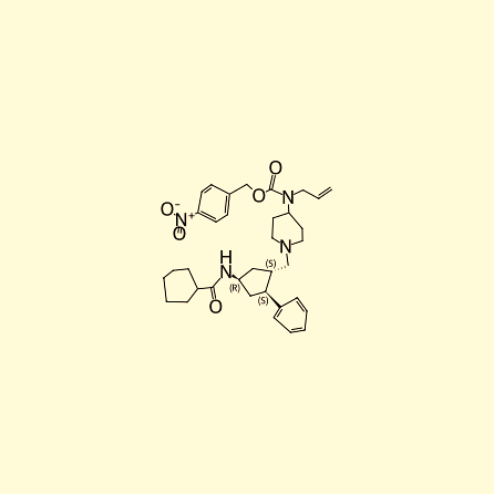 C=CCN(C(=O)OCc1ccc([N+](=O)[O-])cc1)C1CCN(C[C@H]2C[C@H](NC(=O)C3CCCCC3)C[C@@H]2c2ccccc2)CC1